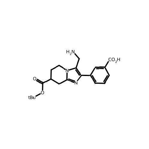 CC(C)(C)OC(=O)C1CCn2c(nc(-c3cccc(C(=O)O)c3)c2CN)C1